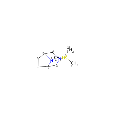 CN1C2CCC1CN([SH](C)C)C2